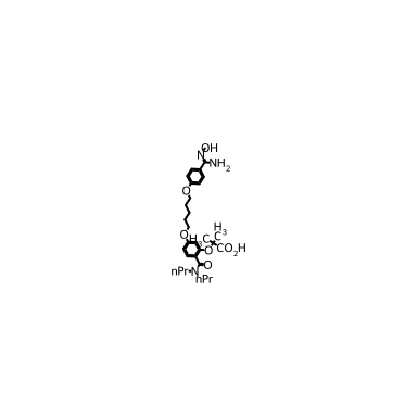 CCCN(CCC)C(=O)c1ccc(OCCCCCOc2ccc(C(N)=NO)cc2)cc1OC(C)(C)C(=O)O